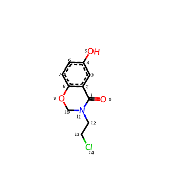 O=C1c2cc(O)ccc2OCN1CCCl